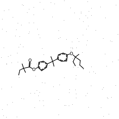 CCCC(C)(CC)Oc1ccc(C(C)(C)c2ccc(OC(=O)C(C)(C)CC)cc2)cc1